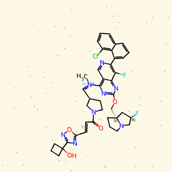 C/[N+](=C/C1CCN(C(=O)/C=C/c2nc(C3(O)CCC3)no2)C1)c1nc(OC[C@@]23CCCN2C[C@H](F)C3)nc2c(F)c(-c3cccc4cccc(Cl)c34)ncc12